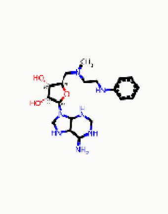 CN(CCNc1ccccc1)C[C@H]1O[C@@H](N2CNC3C(N)NCNC32)[C@H](O)[C@@H]1O